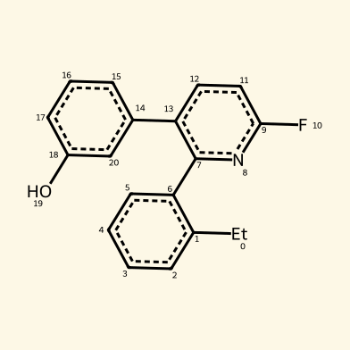 CCc1ccccc1-c1nc(F)ccc1-c1cccc(O)c1